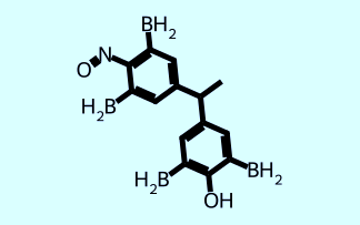 Bc1cc(C(C)c2cc(B)c(N=O)c(B)c2)cc(B)c1O